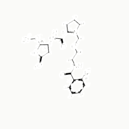 CC(C)O[C@@H]1OC(=O)C[C@@H]1NC(=O)[C@@H]1CCCN1COCCNC(=O)c1ccccc1Cl